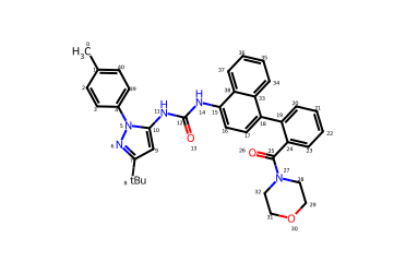 Cc1ccc(-n2nc(C(C)(C)C)cc2NC(=O)Nc2ccc(-c3ccccc3C(=O)N3CCOCC3)c3ccccc23)cc1